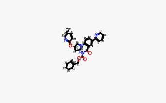 O=C(NC(=O)c1cc(-c2ccccn2)ccc1N1CC[C@H](Oc2ccc(C(F)(F)F)cn2)C1)OCc1ccccc1